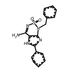 NC1=NS(=O)(=O)N(Cc2ccccc2)c2nc(-c3ccccc3)[nH]c21